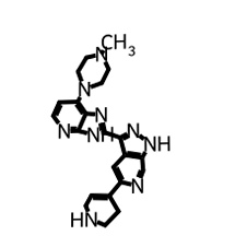 CN1CCN(c2ccnc3[nH]c(-c4n[nH]c5cnc(C6=CCNCC6)cc45)nc23)CC1